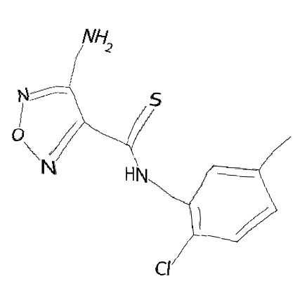 Cc1ccc(Cl)c(NC(=S)c2nonc2N)c1